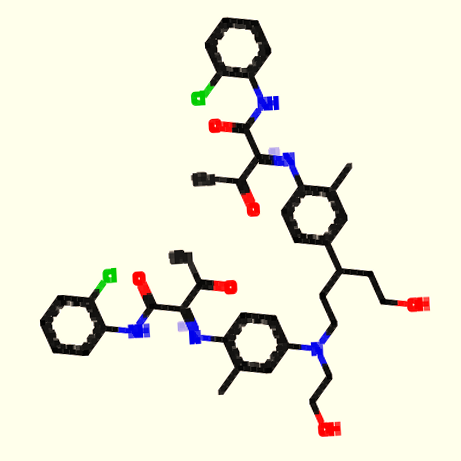 Cc1cc(C(CCO)CCN(CCO)c2ccc(/N=C(/C(=O)Nc3ccccc3Cl)C(=O)C(C)(C)C)c(C)c2)ccc1/N=C(/C(=O)Nc1ccccc1Cl)C(=O)C(C)(C)C